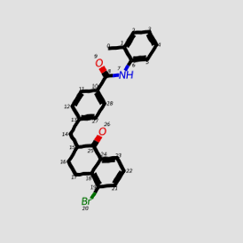 Cc1ccccc1NC(=O)c1ccc(CC2CCc3c(Br)cccc3C2=O)cc1